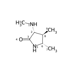 CN[C@H]1C(=O)N[C@@H](C)[C@@H]1C